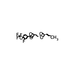 CC/C=C/[C@H]1CO[C@H](CCC2COC(c3ccc(OC(F)(F)F)c(F)c3)OC2)OC1